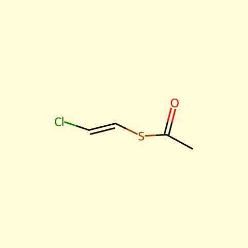 CC(=O)SC=CCl